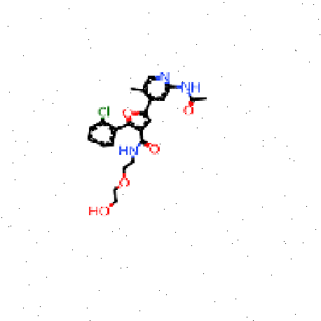 CC(=O)Nc1cc(-c2cc(C(=O)NCCOCCO)c(-c3ccccc3Cl)o2)c(C)cn1